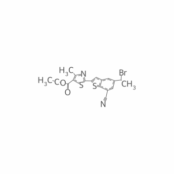 CCOC(=O)c1sc(-c2cc3cc(C(C)Br)cc(C#N)c3s2)nc1C